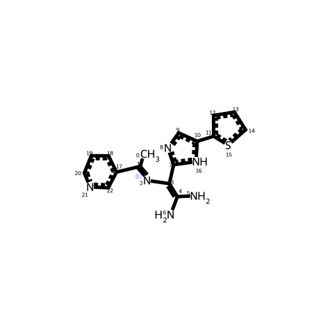 C/C(=N\C(=C(N)N)c1ncc(-c2cccs2)[nH]1)c1cccnc1